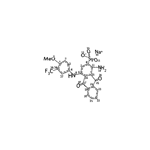 COc1ccc(Nc2cc(S(=O)(=O)[O-])c(N)c3c2C(=O)c2ccccc2C3=O)cc1C(F)(F)F.[Na+]